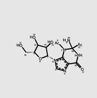 CC(=O)N1c2c(ncn2[C@@H]2O[C@H](CO)C(O)C2O)C(=O)NC1(N)C(C)=O